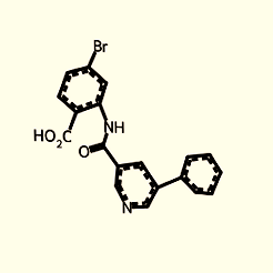 O=C(Nc1cc(Br)ccc1C(=O)O)c1cncc(-c2ccccc2)c1